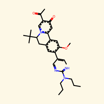 C/C=C(\C=N/C(=N)N(CCC)CCC)c1cc2c(cc1OC)-c1cc(=O)c(C(C)=O)cn1C(C(C)(C)C)C2